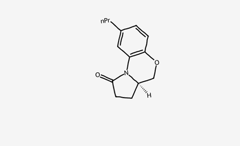 CCCc1ccc2c(c1)N1C(=O)CC[C@@H]1CO2